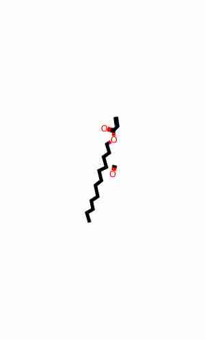 C=CC(=O)OCCCCCCCCCCCC.C=O